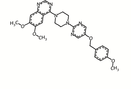 COc1ccc(COc2cnc(N3CCN(c4ncnc5cc(OC)c(OC)cc45)CC3)nc2)cc1